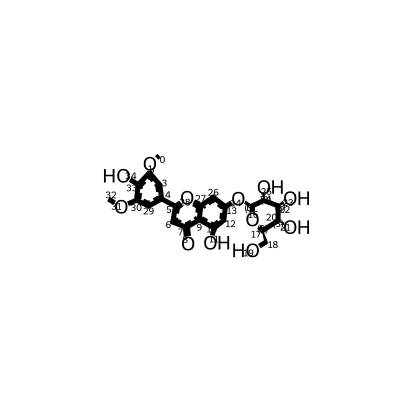 COc1cc(-c2cc(=O)c3c(O)cc(O[C@@H]4O[C@H](CO)[C@@H](O)[C@H](O)[C@H]4O)cc3o2)cc(OC)c1O